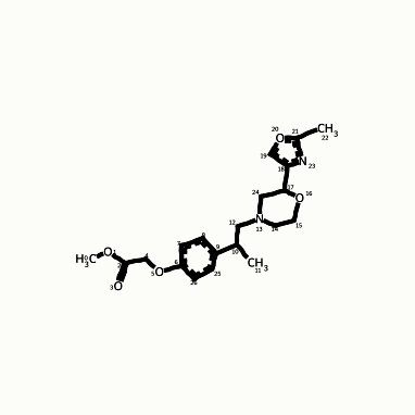 COC(=O)COc1ccc(C(C)CN2CCOC(c3coc(C)n3)C2)cc1